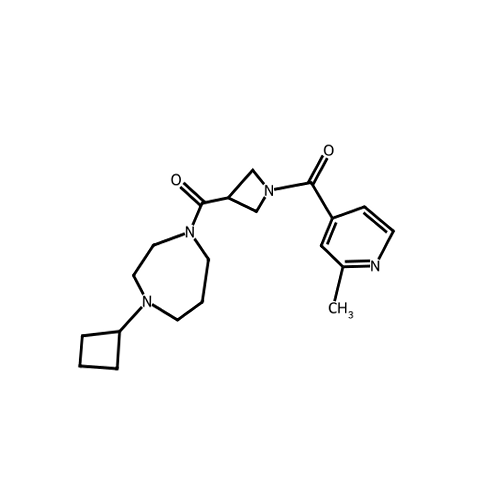 Cc1cc(C(=O)N2CC(C(=O)N3CCCN(C4CCC4)CC3)C2)ccn1